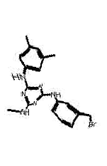 CNc1nc(Nc2cc(C)cc(C)c2)nc(Nc2cccc(CBr)c2)n1